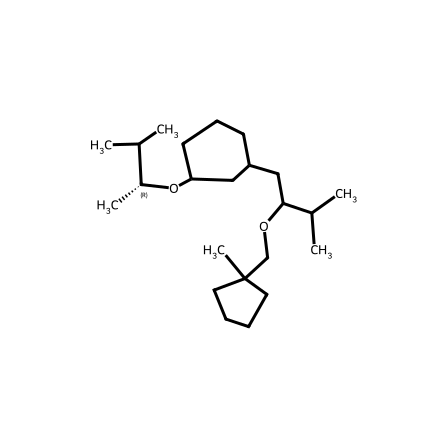 CC(C)C(CC1CCCC(O[C@H](C)C(C)C)C1)OCC1(C)CCCC1